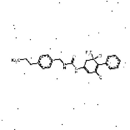 O=C(O)CCc1ccc(CNC(=O)NC2=CC(Cl)=C(c3ccccc3)C(Cl)(C(F)(F)F)C2)cc1